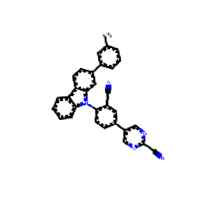 Cc1cccc(-c2ccc3c4ccccc4n(-c4ccc(-c5cnc(C#N)nc5)cc4C#N)c3c2)c1